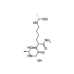 CCC[C@H](N[C@@H](C)O)C(=O)NC(CCCCN[C@H](C)O)C(N)=O